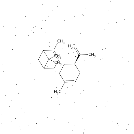 C=C(C)[C@H]1CC=C(C)CC1.CC1=CCC2CC1C2(C)C